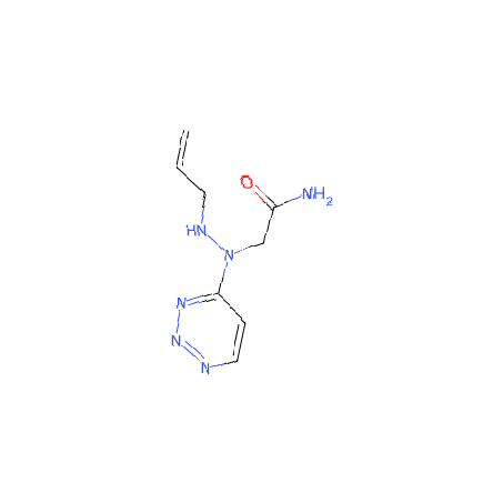 C=CCNN(CC(N)=O)c1ccnnn1